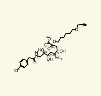 C#CCOCCCCCCO[C@]1(C(=O)OC)C[C@H](O)[C@@H](N)[C@H]([C@H](O)[C@H](O)CNC(=O)Cc2ccc(Cl)cc2)O1